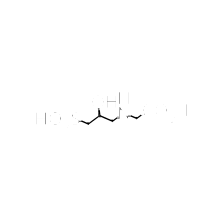 O=C(O)CNCC(O)CS(=O)(=O)O